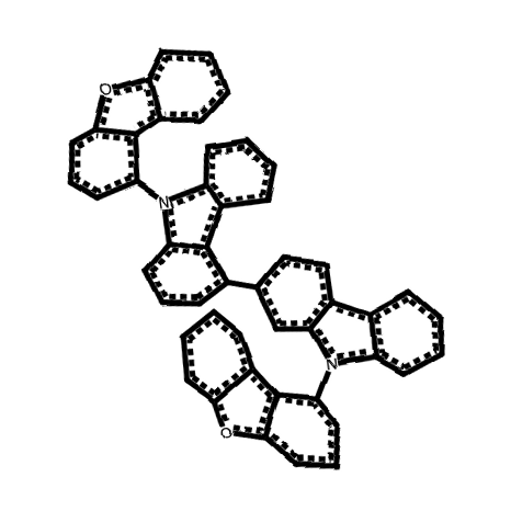 c1ccc2c(c1)oc1cccc(-n3c4ccccc4c4ccc(-c5cccc6c5c5ccccc5n6-c5cccc6oc7ccccc7c56)cc43)c12